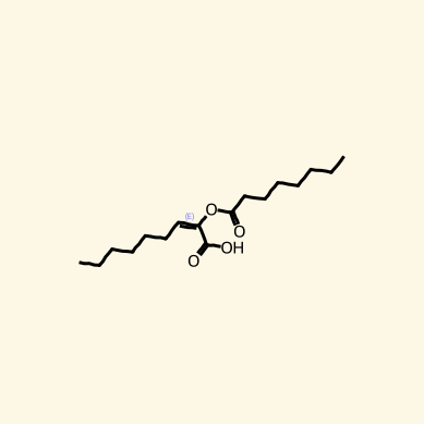 CCCCCC/C=C(/OC(=O)CCCCCCC)C(=O)O